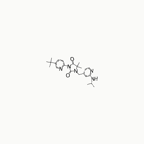 CC(C)Nc1cc(CN2C(=O)N(c3ccc(C(C)(C)C)cn3)C(=O)C2(C)C)ccn1